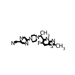 Cc1nc2nc([C@@H](C)N3CCN(c4cnc(C#N)cn4)CC3)c(F)cc2s1